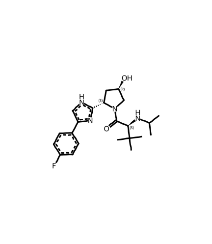 CC(C)N[C@H](C(=O)N1C[C@H](O)C[C@H]1c1nc(-c2ccc(F)cc2)c[nH]1)C(C)(C)C